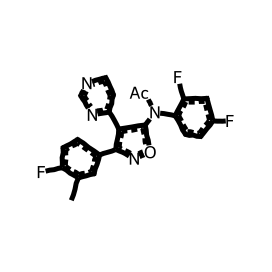 CC(=O)N(c1ccc(F)cc1F)c1onc(-c2ccc(F)c(C)c2)c1-c1ccncn1